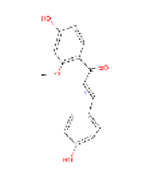 COc1cc(O)ccc1C(=O)/C=C/c1ccc(O)cc1